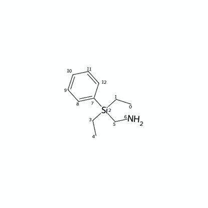 CC[Si](CC)(CN)c1ccccc1